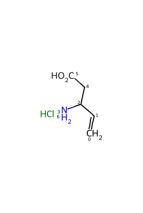 C=CC(N)CC(=O)O.Cl